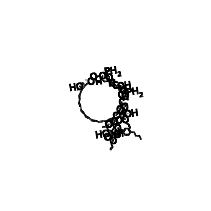 C=CCOC(=O)N[C@H]1[C@H](O)[C@@H](C)O[C@@H](O[C@H]2/C=C/C=C/C=C/C=C/C=C/C=C/C=C/[C@H](C)[C@@H](O)[C@@H](C)[C@H](C)OC(=O)C[C@H]3C[C@@H](CC[C@@H](O)[C@H]4C[C@@H](C[C@]5(OC)C[C@H](O)[C@@H](C(=O)OCC=C)[C@H](C2)O5)OC(P)O4)OC(P)O3)[C@H]1OC(=O)c1ccc(CCCC)cc1